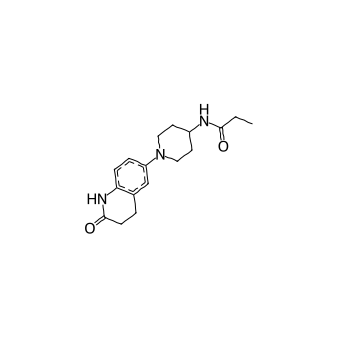 CCC(=O)NC1CCN(c2ccc3c(c2)CCC(=O)N3)CC1